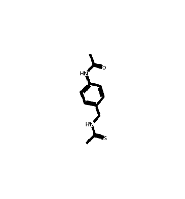 CC(=O)Nc1ccc(CNC(C)=S)cc1